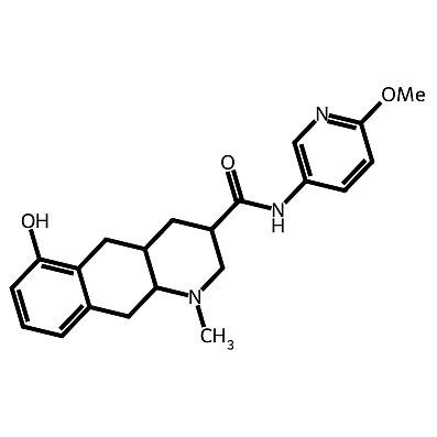 COc1ccc(NC(=O)C2CC3Cc4c(O)cccc4CC3N(C)C2)cn1